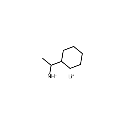 CC([NH-])C1CCCCC1.[Li+]